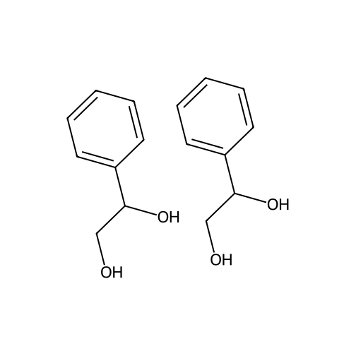 OCC(O)c1ccccc1.OCC(O)c1ccccc1